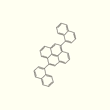 c1ccc2c(-c3cc4cccc5c(-c6cccc7ccccc67)cc6cccc3c6c45)cccc2c1